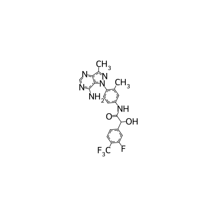 Cc1cc(NC(=O)C(O)c2ccc(C(F)(F)F)c(F)c2)ccc1-n1nc(C)c2ncnc(N)c21